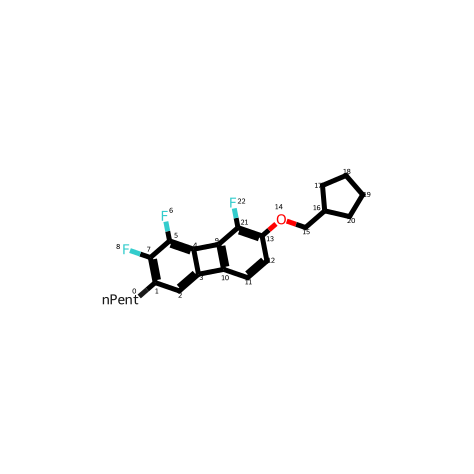 CCCCCc1cc2c(c(F)c1F)-c1c-2ccc(OCC2CCCC2)c1F